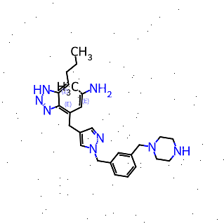 CCC\C=c1/[nH]nn/c1=C(/C=C(\C)N)Cc1cnn(Cc2cccc(CN3CCNCC3)c2)c1